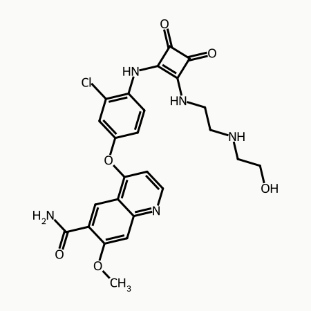 COc1cc2nccc(Oc3ccc(Nc4c(NCCNCCO)c(=O)c4=O)c(Cl)c3)c2cc1C(N)=O